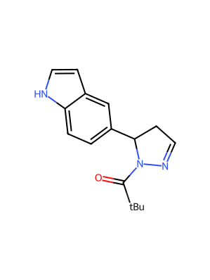 CC(C)(C)C(=O)N1N=CCC1c1ccc2[nH]ccc2c1